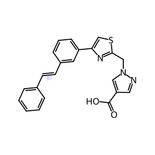 O=C(O)c1cnn(Cc2nc(-c3cccc(/C=C/c4ccccc4)c3)cs2)c1